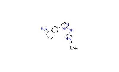 COCCn1cc(Nc2nccc(-c3ccc4c(c3)CCCCC4N)n2)cn1